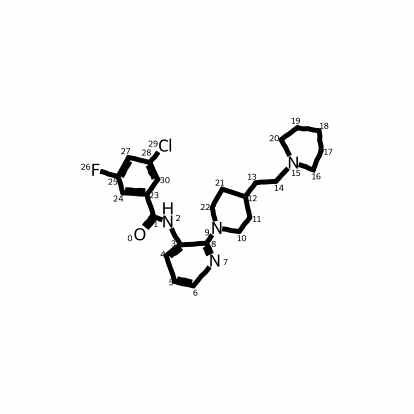 O=C(Nc1cccnc1N1CCC(CCN2CCCCC2)CC1)c1cc(F)cc(Cl)c1